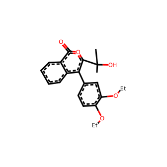 CCOc1ccc(-c2c(C(C)(C)O)oc(=O)c3ccccc23)cc1OCC